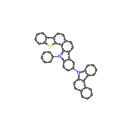 c1ccc(-n2c3ccc(-n4c5ccccc5c5c6ccccc6ccc54)cc3c3ccc4ccc5c6ccccc6sc5c4c32)cc1